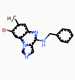 Cc1cc2nc(NCc3ccccc3)c3cncn3c2cc1Br